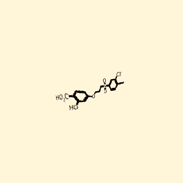 Cc1ccc(S(=O)(=O)CCCOc2ccc(C(=O)O)c(O)c2)cc1Cl